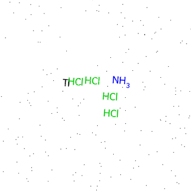 Cl.Cl.Cl.Cl.N.[Ti]